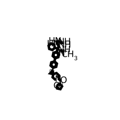 CN1NC(C2CCCCC2)(C2NNNN2)c2ccc(-c3ccc([C@@H]4CC45CCN(C(=O)[C@H]4CCCO4)CC5)cc3)cc21